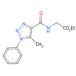 CCOC(=O)CNC(=O)c1nnn(-c2ccccc2)c1C